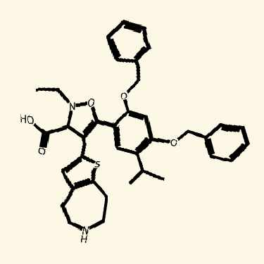 CCN1OC(c2cc(C(C)C)c(OCc3ccccc3)cc2OCc2ccccc2)=C(c2cc3c(s2)CCNCC3)C1C(=O)O